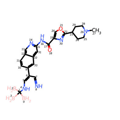 BC(B)(B)N/C=C(\C=N)c1ccc2cnc(NC(=O)c3coc(C4CCN(C)CC4)n3)cc2c1